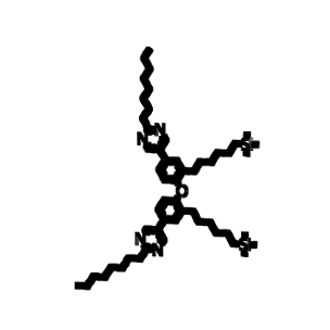 CCCCCCCCc1ncc(-c2ccc(Oc3ccc(-c4cnc(CCCCCCCC)nc4)cc3CCCCCC[Si](C)(C)C)c(CCCCCC[Si](C)(C)C)c2)cn1